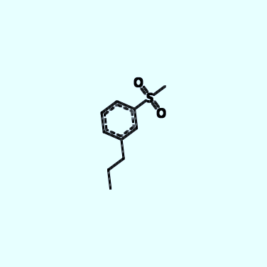 CCCc1cccc(S(C)(=O)=O)c1